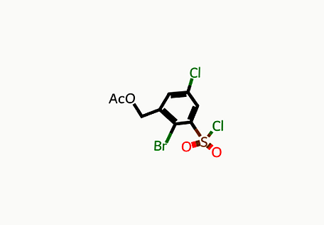 CC(=O)OCc1cc(Cl)cc(S(=O)(=O)Cl)c1Br